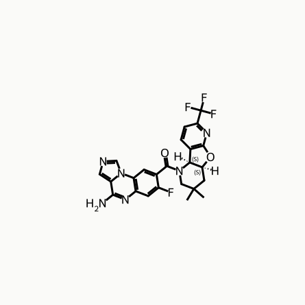 CC1(C)C[C@@H]2Oc3nc(C(F)(F)F)ccc3[C@@H]2N(C(=O)c2cc3c(cc2F)nc(N)c2cncn23)C1